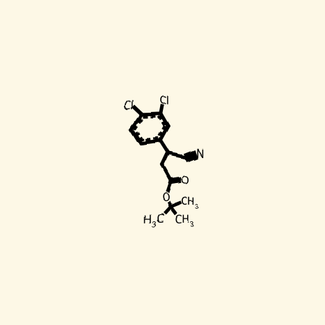 CC(C)(C)OC(=O)CC(C#N)c1ccc(Cl)c(Cl)c1